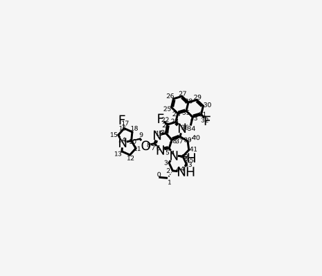 CC[C@@H]1CN2c3nc(OC[C@@]45CCCN4C[C@H](F)C5)nc4c(F)c(-c5cccc6ccc(F)c(C)c56)nc(c34)[C@H](C)C[C@@H]2CN1